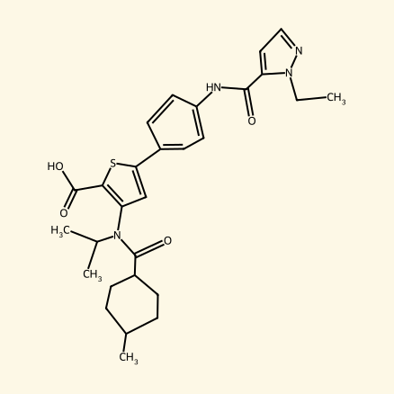 CCn1nccc1C(=O)Nc1ccc(-c2cc(N(C(=O)C3CCC(C)CC3)C(C)C)c(C(=O)O)s2)cc1